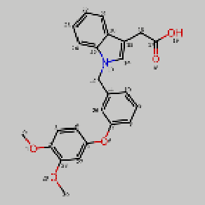 COc1ccc(Oc2cccc(Cn3cc(CC(=O)O)c4ccccc43)c2)cc1OC